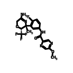 COc1cnc(C(=O)Nc2ccc(F)c([C@@]3(C)N=C(N)CO[C@H]3C(F)(F)F)c2)cn1